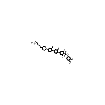 CCCCCC1CCC(c2ccc(-c3ccc(-c4cc(F)c(C(F)(F)Oc5ccc(Cl)c(F)c5)c(F)c4)c(F)c3)c(F)c2)CC1